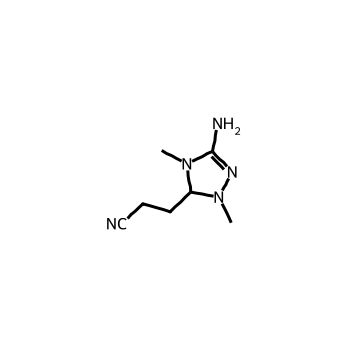 CN1N=C(N)N(C)C1CCC#N